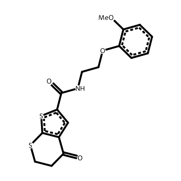 COc1ccccc1OCCNC(=O)c1cc2c(s1)SCCC2=O